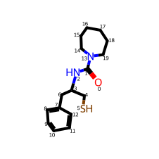 O=C(NC(CS)Cc1ccccc1)N1CCCCCC1